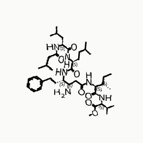 CC[C@H](C)[C@H](NC(=O)C[C@H](N)[C@H](CCc1ccccc1)NC(=O)[C@H](CCC(C)C)NC(=O)[C@H](CC(C)C)NC(=O)CC(C)C)C(=O)N[C@H](C(=O)OC)C(C)C